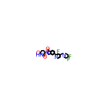 O=C1CCC(N2Cc3cc(-c4nccc(CN5CCC(F)(F)CC5)c4F)ccc3C2=O)C(=O)N1